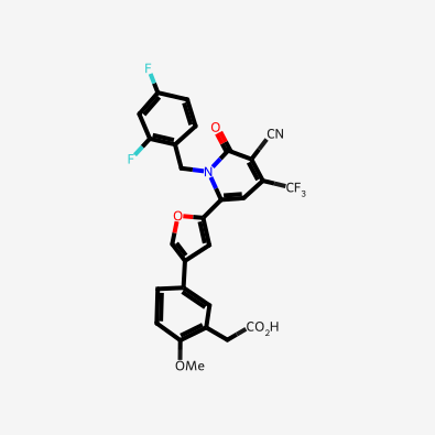 COc1ccc(-c2coc(-c3cc(C(F)(F)F)c(C#N)c(=O)n3Cc3ccc(F)cc3F)c2)cc1CC(=O)O